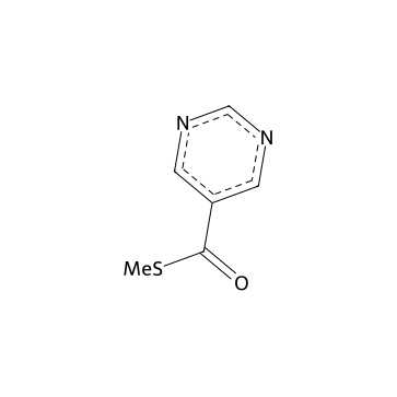 CSC(=O)c1cncnc1